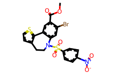 COC(=O)c1cc2c(cc1Br)N(S(=O)(=O)c1ccc([N+](=O)[O-])cc1)CCc1ccsc1-2